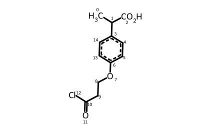 CC(C(=O)O)c1ccc(OCCC(=O)Cl)cc1